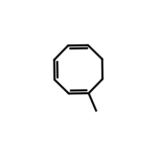 CC1=CC=CC=CCC1